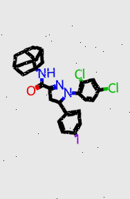 O=C(NC12CC3CC(CC(C3)C1)C2)C1=NN(c2ccc(Cl)cc2Cl)C(c2ccc(I)cc2)C1